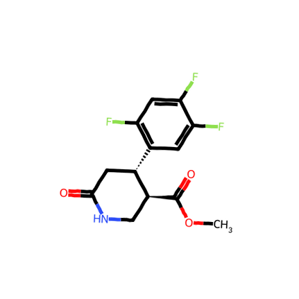 COC(=O)[C@H]1CNC(=O)C[C@@H]1c1cc(F)c(F)cc1F